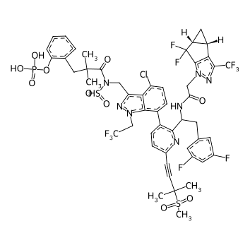 CC(C)(Cc1ccccc1OP(=O)(O)O)C(=O)N(Cc1nn(CC(F)(F)F)c2c(-c3ccc(C#CC(C)(C)S(C)(=O)=O)nc3C(Cc3cc(F)cc(F)c3)NC(=O)Cn3nc(C(F)(F)F)c4c3C(F)(F)[C@@H]3C[C@H]43)ccc(Cl)c12)[SH](=O)=O